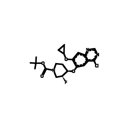 CC(C)(C)OC(=O)N1CC[C@@H](Oc2cc3c(Cl)ncnc3cc2OC2CC2)[C@H](F)C1